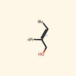 CCC/C(=C\C(C)CC)CO